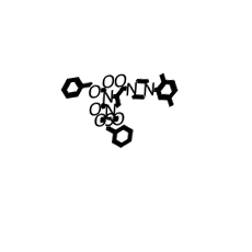 Cc1ccc(C)c(N2CCN(C(=O)C3CN(S(=O)(=O)CC4CCCCC4)C(=O)N3C(=O)OCc3ccccc3)CC2)c1